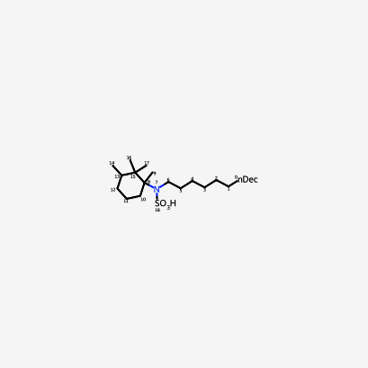 CCCCCCCCCCCCCCCCN(C1(C)CCCC(C)C1(C)C)S(=O)(=O)O